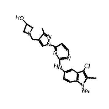 CCCn1c(C)c(Cl)c2cc(Nc3nccc(-n4cc(CN5CC(O)C5)c(C)n4)n3)ccc21